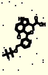 CC(C(=O)O)c1c[nH]c2ccc(Cl)c(C(=O)c3cc(CO[Si](C)(C)C(C)(C)C)ccn3)c12